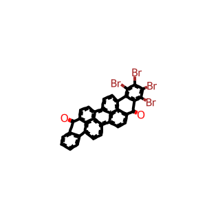 O=C1c2ccccc2-c2ccc3c4ccc5c6c(ccc(c7ccc1c2c37)c64)-c1c(Br)c(Br)c(Br)c(Br)c1C5=O